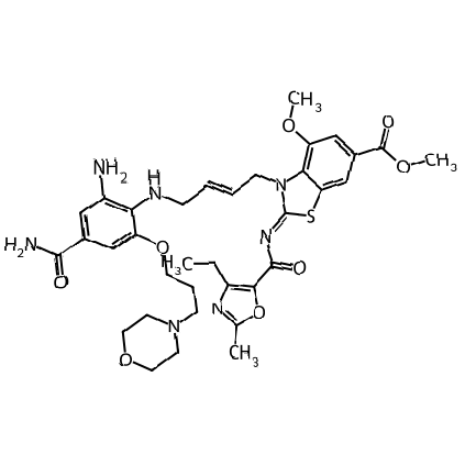 CCc1nc(C)oc1C(=O)/N=c1\sc2cc(C(=O)OC)cc(OC)c2n1C/C=C/CNc1c(N)cc(C(N)=O)cc1OCCCN1CCOCC1